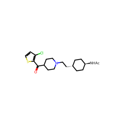 CC(=O)N[C@H]1CC[C@H](CCN2CCC(C(=O)c3sccc3Cl)CC2)CC1